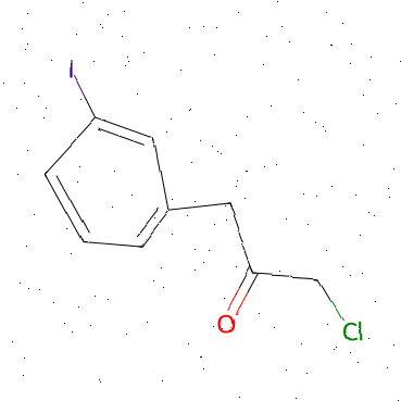 O=C(CCl)Cc1cccc(I)c1